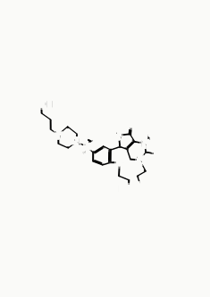 CCCOc1ccc(S(=O)(=O)N2CCN(CCCO)CC2)cc1C1NC(=O)C2=C1CN(CCC)C(C)N2C